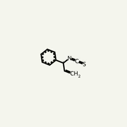 C=C[C](N=C=S)c1ccccc1